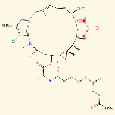 CNC(=O)CCC(C)SSCCC(=O)N(C)[C@H](C)C(=O)O[C@H]1CC(=O)N(C)c2cc(cc(C=O)c2Cl)C/C(C)=C/C=C/[C@@H](C=O)[C@@]2(O)C[C@H](OC(=O)N2)[C@@H](C)[C@@H]2O[C@@]12C